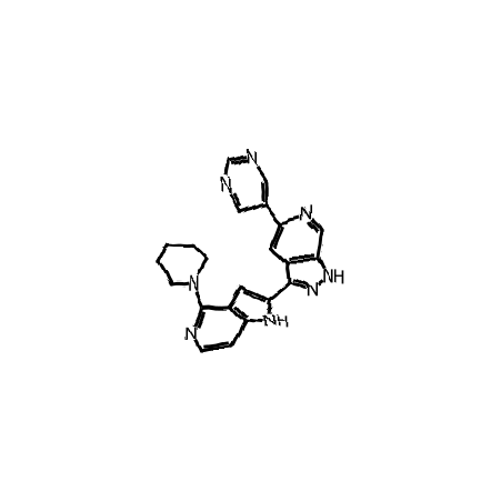 c1ncc(-c2cc3c(-c4cc5c(N6CCCCC6)nccc5[nH]4)n[nH]c3cn2)cn1